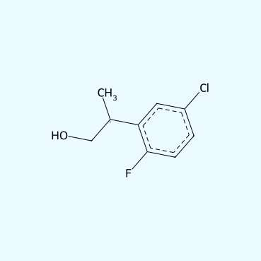 C[C](CO)c1cc(Cl)ccc1F